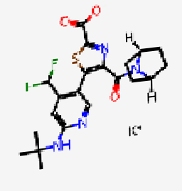 CC(C)(C)Nc1cc(C(F)F)c(-c2sc(C(=O)[O-])nc2C(=O)N2[C@H]3CC[C@@H]2CC3)cn1.[K+]